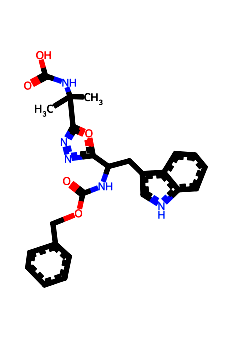 CC(C)(NC(=O)O)c1nnc(C(Cc2c[nH]c3ccccc23)NC(=O)OCc2ccccc2)o1